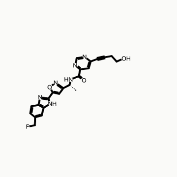 C[C@@H](NC(=O)c1cc(C#CCCO)ncn1)c1cc(-c2nc3ccc(CF)cc3[nH]2)on1